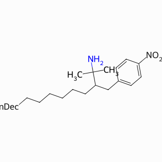 CCCCCCCCCCCCCCCCC(Cc1ccc([N+](=O)[O-])cc1)C(C)(C)N